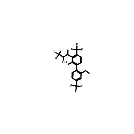 CCc1cc(C(F)(F)F)ccc1-c1ccc(C(F)(F)F)c(C(C)C(O)C(F)(F)F)c1C